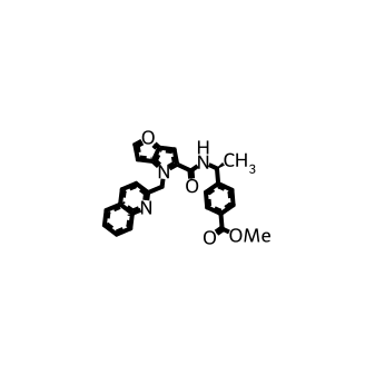 COC(=O)c1ccc([C@H](C)NC(=O)c2cc3occc3n2Cc2ccc3ccccc3n2)cc1